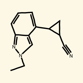 CCn1cc2c(C3CC3C#N)cccc2n1